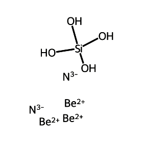 O[Si](O)(O)O.[Be+2].[Be+2].[Be+2].[N-3].[N-3]